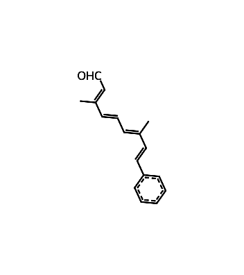 CC(C=CC=C(C)C=Cc1ccccc1)=CC=O